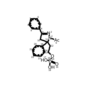 CC(=O)N1N=C(c2ccccc2)CC1(CCOP(=O)(O)O)c1ccccc1